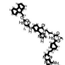 COC(=O)[C@H](CCCNC(=O)c1ccc(NC(=O)[C@H](C)NC(=O)OCC2c3ccccc3-c3ccccc32)cc1-c1nn[nH]n1)NC(=O)c1ccc(CCc2cnc3nc(N)nc(N)c3n2)cc1